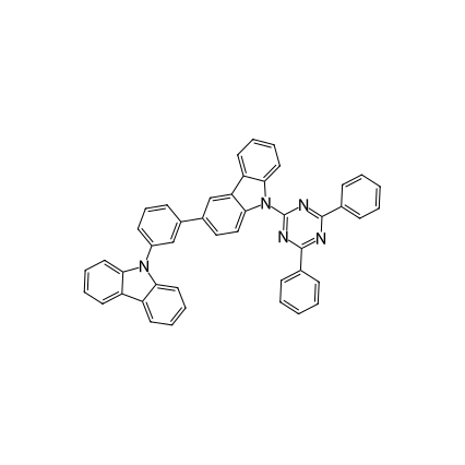 c1ccc(-c2nc(-c3ccccc3)nc(-n3c4ccccc4c4cc(-c5cccc(-n6c7ccccc7c7ccccc76)c5)ccc43)n2)cc1